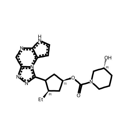 CC[C@@H]1C[C@H](OC(=O)N2CCC[C@@H](O)C2)CC1c1nnc2cnc3[nH]ccc3n12